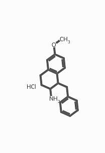 COc1ccc2c(c1)CCC(N)C2Cc1ccccc1.Cl